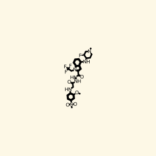 COc1cc(S(C)(=O)=O)ccc1NCC(=O)NNC(=O)c1cc2c(N[C@@H]3CCN(C)C[C@@H]3F)cccc2n1CC(F)(F)F